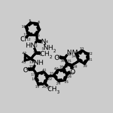 C=C(N/C(=N\N)c1ccccc1Cl)C1(NC(=O)c2ccc(C)c(-c3ccc4oc(-c5ccccc5)c(C(=O)NC)c4c3)c2)CC1